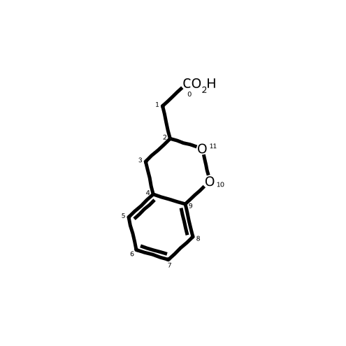 O=C(O)CC1Cc2ccccc2OO1